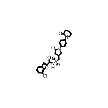 O=C(NS(=O)(=O)CC1CC(=O)N(c2ccc(N3CCCCC3=O)cc2)C1)c1cc2cccc(Cl)c2o1